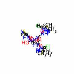 Cc1ncsc1-c1ccc(CNC(=O)[C@@H]2C[C@@H](O)CN2C(=O)C(C=NC(=O)CN(CCCCCNC(=O)C[C@@H]2N=C(c3ccc(Cl)cc3)c3c(sc(C)c3C)-n3c(C)nnc32)C(=O)CCCCNC(=O)C[C@@H]2N=C(c3ccc(Cl)cc3)c3c(sc(C)c3C)-n3c(C)nnc32)C(C)(C)C)cc1